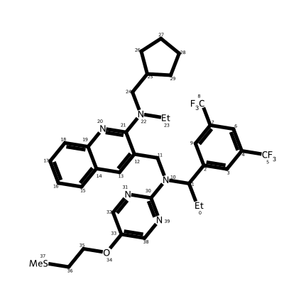 CCC(c1cc(C(F)(F)F)cc(C(F)(F)F)c1)N(Cc1cc2ccccc2nc1N(CC)CC1CCCC1)c1ncc(OCCSC)cn1